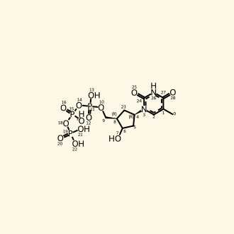 Cc1cn([C@H]2CC(O)[C@@H](COP(=O)(O)OP(=O)(O)OP(=O)(O)O)C2)c(=O)[nH]c1=O